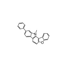 Cn1c2cc(-c3ccccc3)ccc2c2ccc3oc4ccccc4c3c21